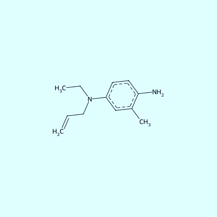 C=CCN(CC)c1ccc(N)c(C)c1